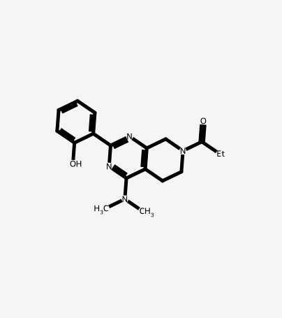 CCC(=O)N1CCc2c(nc(-c3ccccc3O)nc2N(C)C)C1